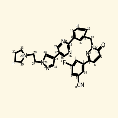 N#Cc1cc(F)cc(-c2ccc(=O)n(Cc3cccc(-c4ncc(-c5cnn(CCN6CCCC6)c5)cn4)c3)n2)c1